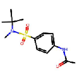 CC(=O)Nc1ccc(S(=O)(=O)N(C)C(C)(C)C)cc1